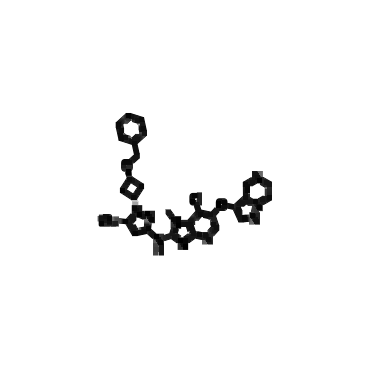 Cn1c(Nc2cc(C(C)(C)C)n([C@H]3C[C@H](OCc4ccccc4)C3)n2)nc2ncc(Oc3cnn4ccncc34)c(Cl)c21